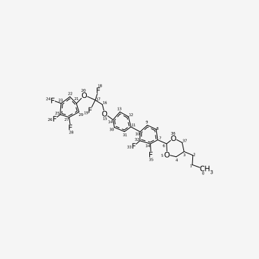 CCCC1COC(c2ccc(-c3ccc(OCC(F)(F)Oc4cc(F)c(F)c(F)c4)cc3)c(F)c2F)OC1